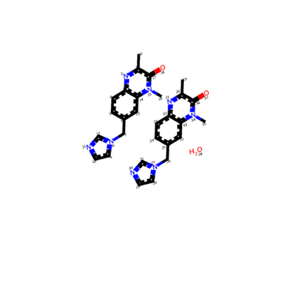 Cc1nc2ccc(Cn3ccnc3)cc2n(C)c1=O.Cc1nc2ccc(Cn3ccnc3)cc2n(C)c1=O.O